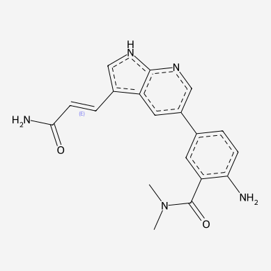 CN(C)C(=O)c1cc(-c2cnc3[nH]cc(/C=C/C(N)=O)c3c2)ccc1N